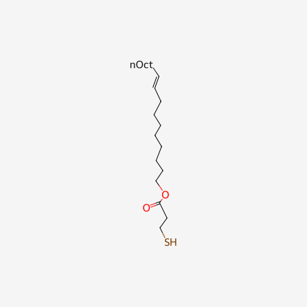 CCCCCCCCC=CCCCCCCCCOC(=O)CCS